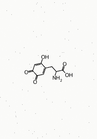 NC(CC1=CC(=O)C(=O)C=C1O)C(=O)O